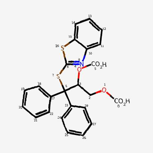 O=C(O)OCC(OC(=O)O)C(Sc1nc2ccccc2s1)(c1ccccc1)c1ccccc1